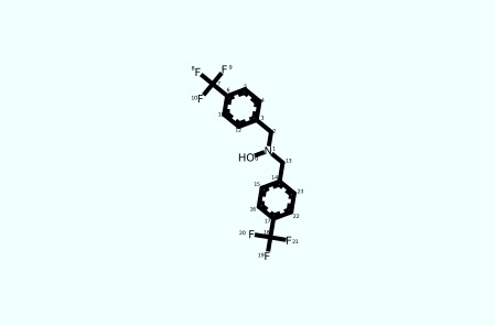 ON(Cc1ccc(C(F)(F)F)cc1)Cc1ccc(C(F)(F)F)cc1